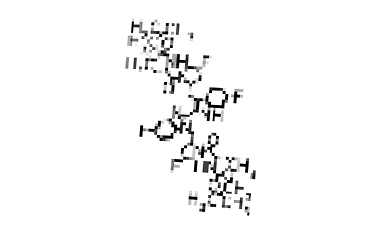 CC[C@H](NC(=O)OC(C)(C)C)C(=O)N1C[C@@H](F)C[C@H]1Cc1c(-c2nc3cc(F)ccc3n2C[C@@H]2C[C@H](F)CN2C(=O)[C@H](CC)NC(=O)OC(C)(C)C)[nH]c2cc(F)ccc12